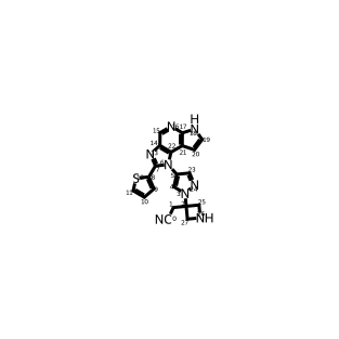 N#CCC1(n2cc(-n3c(-c4cccs4)nc4cnc5[nH]ccc5c43)cn2)CNC1